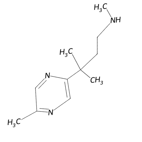 CNCCC(C)(C)c1cnc(C)cn1